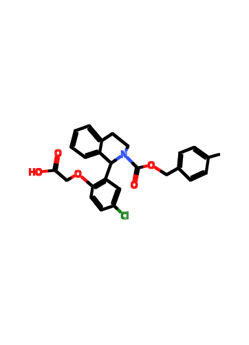 Cc1ccc(COC(=O)N2CCc3ccccc3C2c2cc(Cl)ccc2OCC(=O)O)cc1